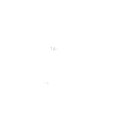 CCCCCC1(CN)CCC1